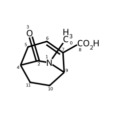 CN1C(=O)C2CC=C(C(=O)O)C1CC2